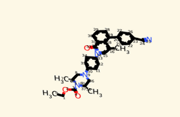 CCOC(=O)N1[C@H](C)CN(c2ccc(-n3cc(C)c4c(-c5ccc(C#N)cc5)cccc4c3=O)cc2)C[C@H]1C